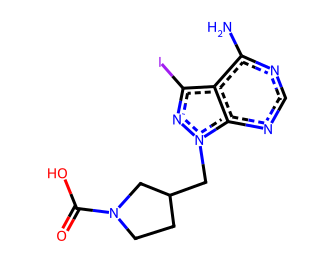 Nc1ncnc2c1c(I)nn2CC1CCN(C(=O)O)C1